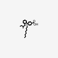 CCCCCCCCOC1(c2ccccc2CC(C)CC)C=CC(C(=O)O)C=C1